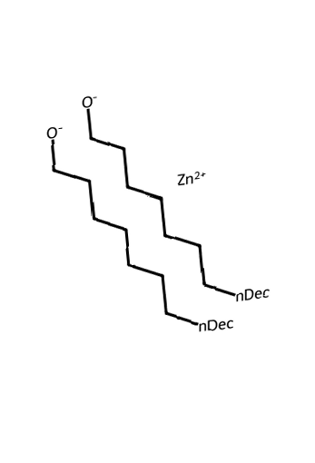 CCCCCCCCCCCCCCCCC[O-].CCCCCCCCCCCCCCCCC[O-].[Zn+2]